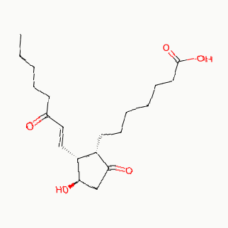 CCCCCC(=O)C=C[C@H]1[C@H](O)CC(=O)[C@H]1CCCCCCC(=O)O